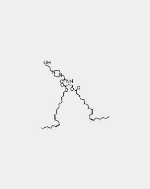 CCCCC/C=C\C/C=C\CCCCCCCCOC(=O)[C@H](COC(=O)CCCCCCC/C=C\C/C=C\CCCCC)NC(=O)CN1CCN(CCCO)CC1